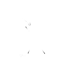 CO[C@H]1O[C@@H]2O[C@]3(C)CCC4CCCC([C@H]1C)[C@]42OO3